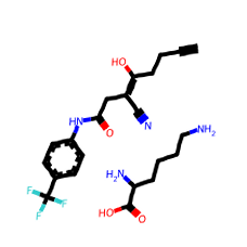 C#CCC/C(O)=C(\C#N)CC(=O)Nc1ccc(C(F)(F)F)cc1.NCCCCC(N)C(=O)O